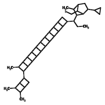 CCC(C1CC2C1C1C2C2C1C1C2C2C3C4C5C6C(C)C(C7CC8C(C)C(C)C87)C6C5C4C3C12)C1C(C)C2CC(C3CC3)C1C2CI